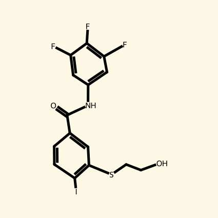 O=C(Nc1cc(F)c(F)c(F)c1)c1ccc(I)c(SCCO)c1